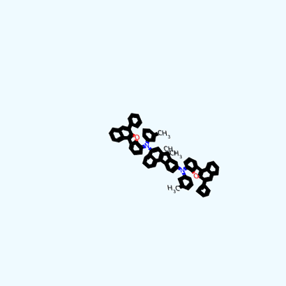 Cc1cccc(N(c2ccc3c(c2)C(C)(C)c2cc(N(c4cccc(C)c4)c4cccc5c4oc4c(-c6ccccc6)cc6ccccc6c45)c4ccccc4c2-3)c2cccc3c2oc2c(-c4ccccc4)cc4ccccc4c23)c1